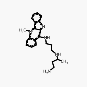 CC(CCN)NCCCNc1c2nc3ccccc3c-2n(C)c2ccccc12